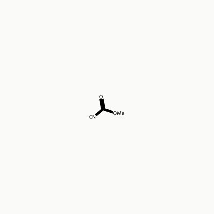 [C-]#[N+]C(=O)OC